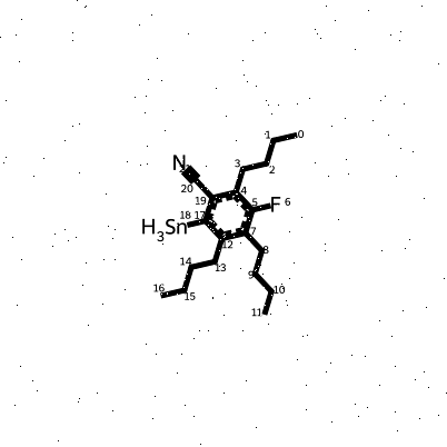 CCCCc1c(F)c(CCCC)c(CCCC)[c]([SnH3])c1C#N